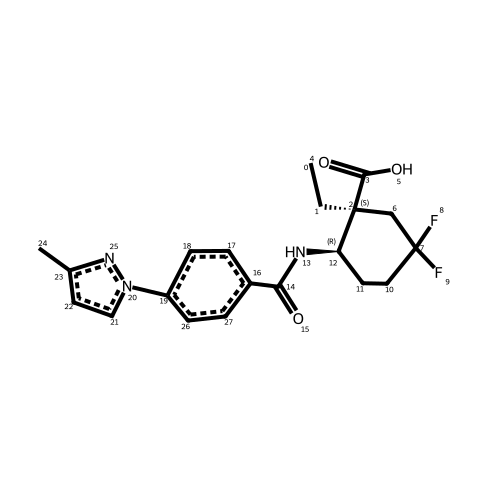 CC[C@]1(C(=O)O)CC(F)(F)CC[C@H]1NC(=O)c1ccc(-n2ccc(C)n2)cc1